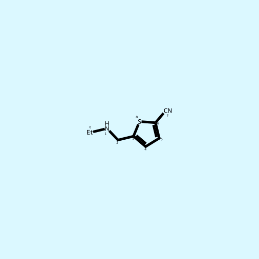 CCNCc1ccc(C#N)s1